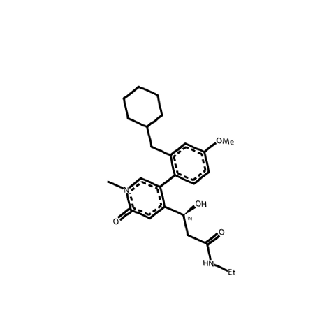 CCNC(=O)C[C@H](O)c1cc(=O)n(C)cc1-c1ccc(OC)cc1CC1CCCCC1